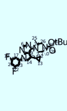 C[C@@H]1CN(c2ncnc3c2c(C2CC2)cn3-c2cc(F)cc(F)c2)[C@@H](C)CN1C(=O)OC(C)(C)C